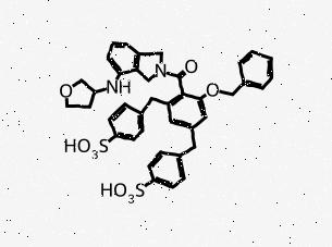 O=C(c1c(Cc2ccc(S(=O)(=O)O)cc2)cc(Cc2ccc(S(=O)(=O)O)cc2)cc1OCc1ccccc1)N1Cc2cccc(NC3CCOC3)c2C1